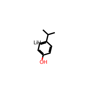 CC(C)c1ccc(O)cc1.[LiH]